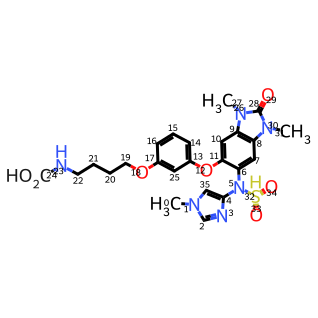 Cn1cnc(N(c2cc3c(cc2Oc2cccc(OCCCCNC(=O)O)c2)n(C)c(=O)n3C)[SH](=O)=O)c1